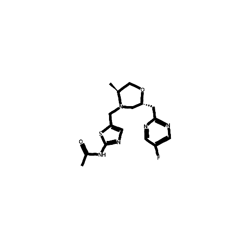 CC(=O)Nc1ncc(CN2C[C@@H](Cc3ncc(F)cn3)OC[C@@H]2C)s1